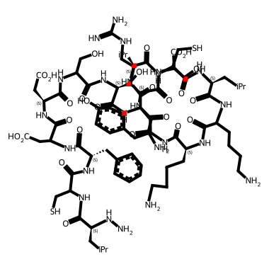 CC(C)C[C@H](NN)C(=O)NC(CS)C(=O)N[C@@H](Cc1ccccc1)C(=O)NC(CC(=O)O)C(=O)N[C@@H](CC(=O)O)C(=O)NC(CO)C(=O)N[C@@H](CO)C(=O)NC(CC(N)=O)C(=O)N[C@H](C(=O)NC(CS)C(=O)N[C@@H](CC(C)C)C(=O)NC(CCCCN)C(=O)N[C@@H](CCCCN)C(=O)NC(Cc1ccc(O)cc1)C(=O)N[C@@H](CCCNC(=N)N)C(=O)NC(CO)C(=O)O)C(C)C